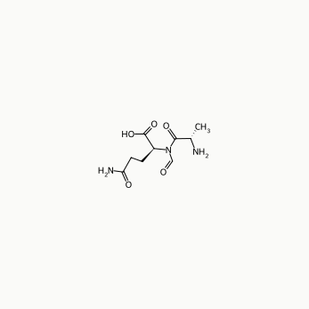 C[C@H](N)C(=O)N(C=O)[C@@H](CCC(N)=O)C(=O)O